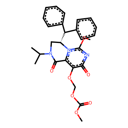 COC(=O)OCOc1c2n(c(OC)nc1=O)[C@@H](C(c1ccccc1)c1ccccc1)CN(C(C)C)C2=O